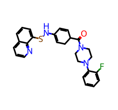 O=C(C1C=CC(NSc2cccc3cccnc23)=CC1)N1CCN(c2ccccc2F)CC1